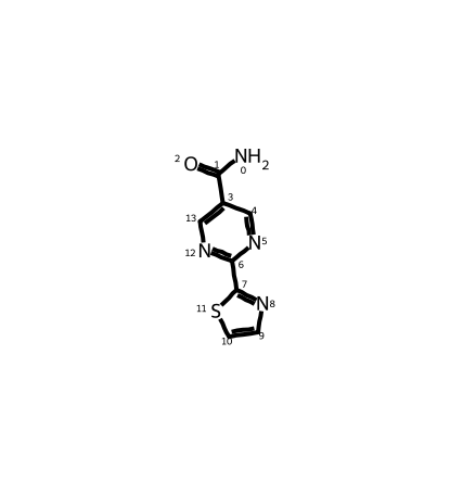 NC(=O)c1cnc(-c2nccs2)nc1